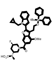 COc1cc(C(=O)N2C[C@H](F)C[C@@H](N(C)C(=O)O)C2)cc2oc(-c3cc4ccccc4n3CC3CC3)c(CCO[Si](c3ccccc3)(c3ccccc3)C(C)(C)C)c12